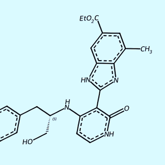 CCOC(=O)c1cc(C)c2nc(-c3c(N[C@H](CO)Cc4ccccc4)cc[nH]c3=O)[nH]c2c1